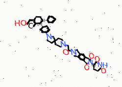 O=C1CC[C@@H](N2C(=O)c3cc4c(cc3C2=O)CN(C(=O)CN2CCC3(CC2)CCN(c2ccc([C@@H]5c6ccc(O)cc6CC[C@@H]5c5ccccc5)cc2)C3)C4)C(=O)N1